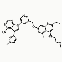 CCc1cc(NCCOC)c2c(F)cc(OCc3cncc(-n4cc(-c5ccn(C)n5)c5c(N)ncnc54)c3)cc2n1